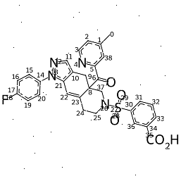 Cc1ccnc(C(=O)C23Cc4cnn(-c5ccc(F)cc5)c4C=C2CCN(S(=O)(=O)c2cccc(C(=O)O)c2)C3)c1